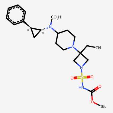 CC(C)(C)OC(=O)NS(=O)(=O)N1CC(CC#N)(N2CCC(N(C(=O)O)[C@@H]3C[C@H]3c3ccccc3)CC2)C1